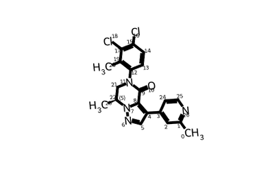 Cc1cc(-c2cnn3c2C(=O)N(c2ccc(Cl)c(Cl)c2C)C[C@@H]3C)ccn1